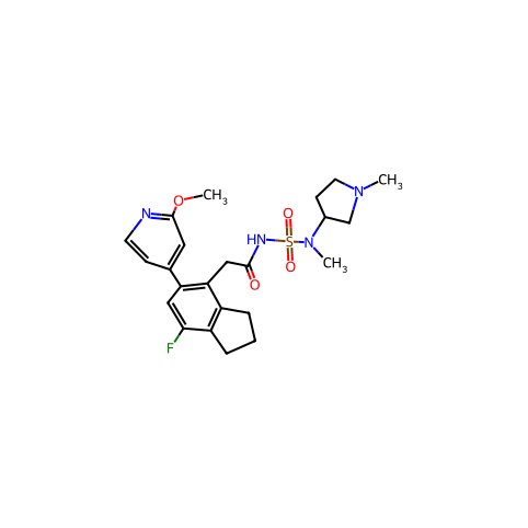 COc1cc(-c2cc(F)c3c(c2CC(=O)NS(=O)(=O)N(C)C2CCN(C)C2)CCC3)ccn1